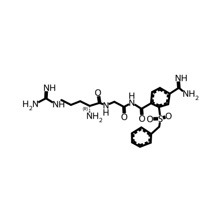 N=C(N)NCCC[C@@H](N)C(=O)NCC(=O)NC(=O)c1ccc(C(=N)N)cc1S(=O)(=O)Cc1ccccc1